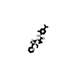 CCn1c(SC2(C(=O)Nc3ccc(C(C)C)cc3C)CC2)nnc1-c1ccccn1